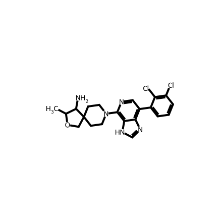 CC1OCC2(CCN(c3ncc(-c4cccc(Cl)c4Cl)c4nc[nH]c34)CC2)C1N